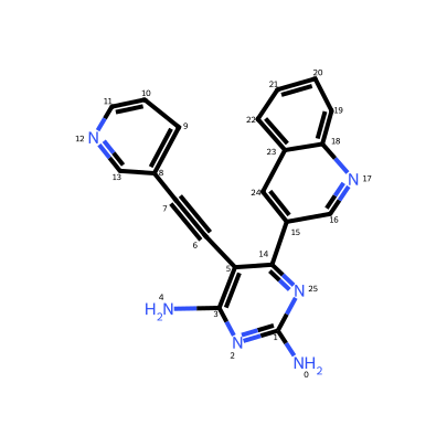 Nc1nc(N)c(C#Cc2cccnc2)c(-c2cnc3ccccc3c2)n1